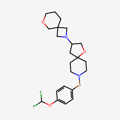 FC(F)Oc1ccc(SN2CCC3(CC2)CC(N2CC4(CCCOC4)C2)CO3)cc1